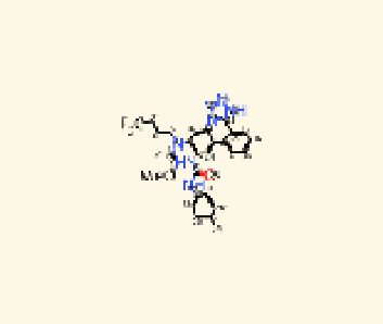 COC[C@H](C)N(CCCC(F)(F)F)c1ccc(-c2ccccc2-c2nnn[nH]2)cc1NC(=O)Nc1ccc(C)cc1